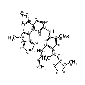 C=CC(=O)Nc1cc(Nc2ncc(C(=O)OC(C)C)c(-c3cn(C)c4ccccc34)n2)c(OC)cc1N(C)C[C@@H]1CCCN1C